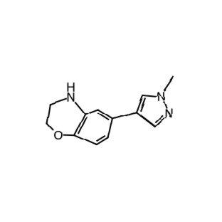 Cn1cc(-c2ccc3c(c2)NCCO3)cn1